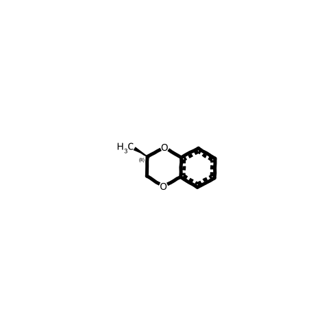 C[C@@H]1COc2ccccc2O1